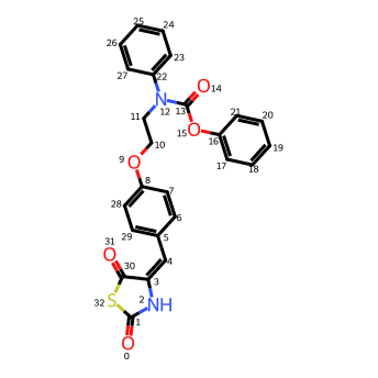 O=C1NC(=Cc2ccc(OCCN(C(=O)Oc3ccccc3)c3ccccc3)cc2)C(=O)S1